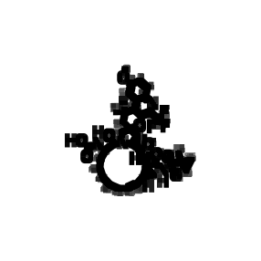 COc1ccc2nc(C(F)(F)F)c3c(c2c1)[C@@](C)(F)C[C@]1(C[C@H]2C(=O)N[C@]4(C(=O)NS(=O)(=O)C5(C)CC5)C[C@H]4/C=C\CCCCC[C@H](NC(=O)O)C(=O)N2C1)O3